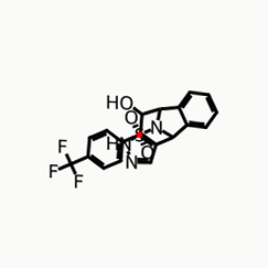 O=S(=O)(c1ccc(C(F)(F)F)cc1)N1C2c3ccccc3C1C(O)c1[nH]ncc12